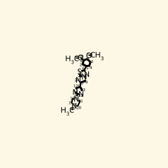 COc1ccc(-c2nn3cc(-c4cnc(N5CCN(C)CC5)nc4)nc3s2)cc1OC